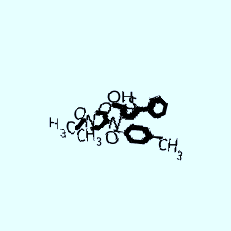 CC[C@H]1CC[C@H](C(=O)N(c2cc(C3=CCCCC3)sc2C(=O)O)C2CCN(C(=O)C(C)C)CC2)CC1